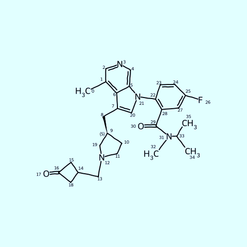 Cc1cncc2c1c(C[C@H]1CCN(CC3CC(=O)C3)C1)cn2-c1ccc(F)cc1C(=O)N(C)C(C)C